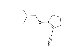 CC(C)COC1=C(C#N)CSC1